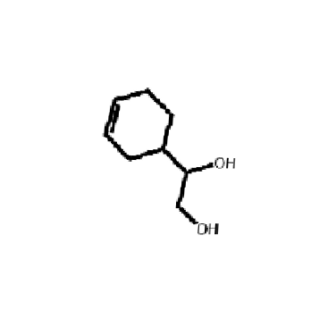 OCC(O)C1CC=CCC1